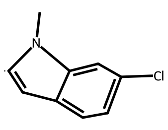 Cn1[c]cc2ccc(Cl)cc21